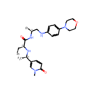 CC[C@@H](CNc1ccc(N2CCOCC2)cc1)NC(=O)[C@H](CC(C)C)N[C@@H](c1ccc(=O)n(C)c1)C(F)(F)F